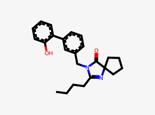 CCCCC1=NC2(CCCC2)C(=O)N1Cc1cccc(-c2ccccc2O)c1